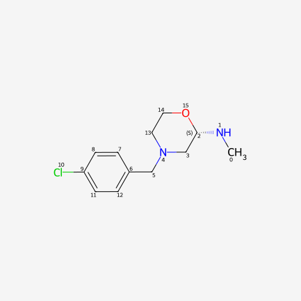 CN[C@@H]1CN(Cc2ccc(Cl)cc2)CCO1